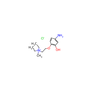 CC[N+](C)(CC)CCOc1ccc(N)cc1O.[Cl-]